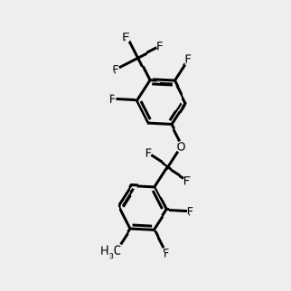 Cc1ccc(C(F)(F)Oc2cc(F)c(C(F)(F)F)c(F)c2)c(F)c1F